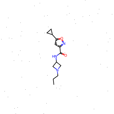 CCCN1CC(NC(=O)c2cc(C3CC3)on2)C1